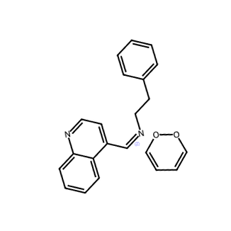 C(=N/CCc1ccccc1)/c1ccnc2ccccc12.C1=COOC=C1